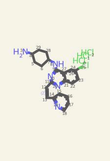 Cl.Cl.Cl.NC1CCC(Nc2nc(/C=C\c3ccccn3)nc3ccc(Cl)cc23)CC1